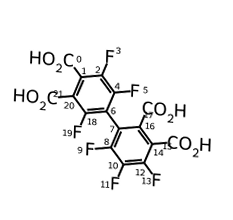 O=C(O)c1c(F)c(F)c(-c2c(F)c(F)c(F)c(C(=O)O)c2C(=O)O)c(F)c1C(=O)O